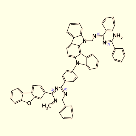 C=N/C(=N\C(=N/Cc1ccccc1)c1ccc(-n2c3ccccc3c3c4c(ccc32)c2ccccc2n4C/N=C(\N=C(/N)c2ccccc2)c2ccccc2)cc1)c1ccc2c(c1)oc1ccccc12